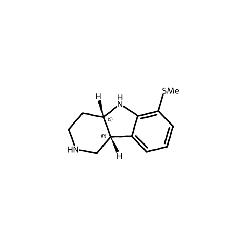 CSc1cccc2c1N[C@H]1CCNC[C@@H]21